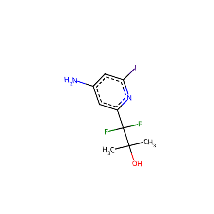 CC(C)(O)C(F)(F)c1cc(N)cc(I)n1